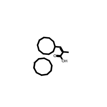 CC(=C[C]1CCCCCCCCC1)C(=O)O.[C]1CCCCCCCCC1